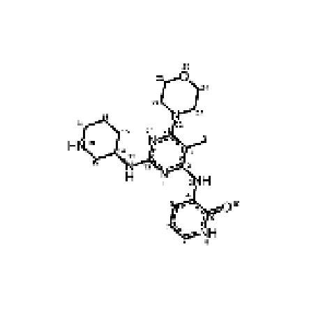 Cc1c(Nc2ccc[nH]c2=O)nc(N[C@@H]2CCCNC2)nc1N1CCOCC1